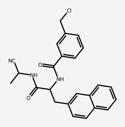 CC(C#N)NC(=O)C(Cc1ccc2ccccc2c1)NC(=O)c1cccc(CCl)c1